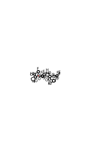 CN1CCCCc2c(cc(NC(=O)c3cc(F)c(C4CNC(=O)c5cc(NC(=O)c6cc(F)cc(C(F)(F)F)c6)c6c(c5N4)C(=O)NC6c4cc(F)ccc4Cl)c(C(F)(F)F)c3)c3c2C(=O)NC3c2cc(F)ccc2Cl)C1=O